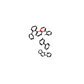 c1ccc(-c2ccccc2-c2ccc(N(c3cccc(-c4cccc(-n5c6ccccc6c6ccc7ccccc7c65)c4)c3)c3ccccc3-c3ccccc3)cc2)cc1